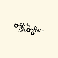 COC(=O)C(Cc1ccc(CN(Cc2nc(-c3ccccc3)oc2C)C(C)=O)cc1)n1cccc1